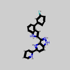 Fc1cccc(-c2cccc3[nH]c(-c4n[nH]c5ccc(-c6ccccn6)nc45)cc23)c1